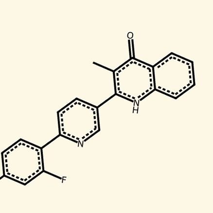 Cc1c(-c2ccc(-c3ccc(F)cc3F)nc2)[nH]c2ccccc2c1=O